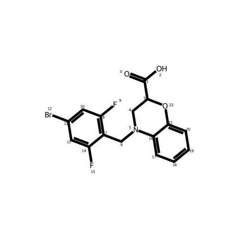 O=C(O)C1CN(Cc2c(F)cc(Br)cc2F)c2ccccc2O1